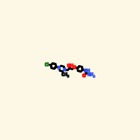 C[C@H]1CN(c2ccc(Cl)cc2)CCN1C[C@@H](O)COc1ccc(NC(N)=O)cc1